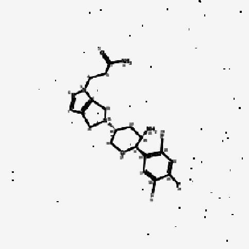 NC(=O)CCn1ncc2c1CN([C@H]1CO[C@H](c3cc(F)c(F)cc3F)[C@@H](N)C1)C2